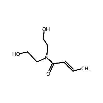 C/C=C/C(=O)N(CCO)CCO